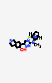 CN(c1ncc(-c2cc3cnccc3cc2O)nn1)[C@H]1C[C@@H]2CC[C@@H](N2)[C@H]1F